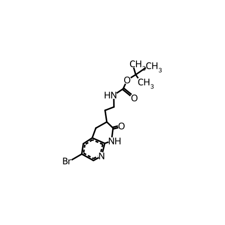 CC(C)(C)OC(=O)NCCC1Cc2cc(Br)cnc2NC1=O